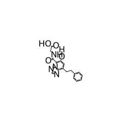 O=C(O)CNC(=O)c1c(O)cc(CCc2ccccc2)c2ncnn12